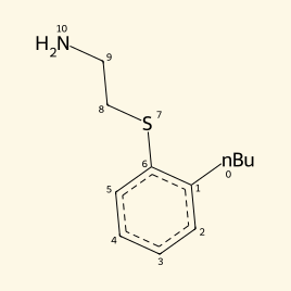 CCCCc1ccccc1SCCN